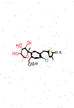 CCc1sc(Cc2cc([C@]3(C)O[C@H](C)[C@@H](O)[C@H](O)[C@H]3O)c(COC)cc2Cl)cc1C